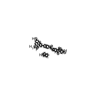 C[C@@H]1Cc2cc(O)ccc2[C@@H](c2c(F)cc(C3=CCC4(CC3)CCN(C(=O)CN3Cc5cc6c(cc5C3)C(=O)N(C3CCC(=O)NC3=O)C6=O)CC4)cc2F)N1CC(F)F.c1ccc2c(c1)CCNC2